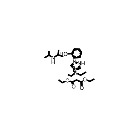 CC(C)NC(C)C.CCNCC.CCOC(=O)CC(=O)OCC.Oc1ccccc1.c1nc[nH]n1